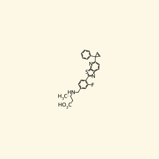 C[C@@H](CC(=O)O)NCc1ccc(-c2nc3ccc(C4(c5ccccc5)C=C4)nc3s2)c(F)c1